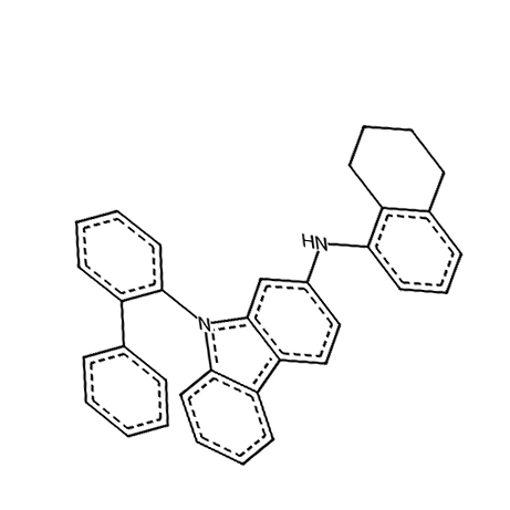 c1ccc(-c2ccccc2-n2c3ccccc3c3ccc(Nc4cccc5c4CCCC5)cc32)cc1